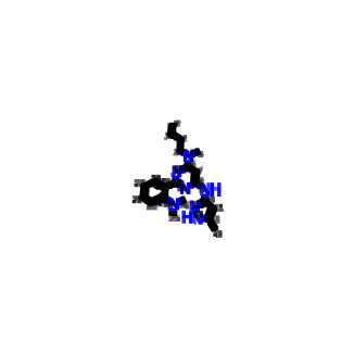 CCCCN(C)c1cc(Nc2cc(C)[nH]n2)nc(-c2ccccc2N(C)C)n1